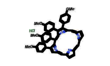 COc1ccc(C2=CC3=CC4=NC(=CC5=NC(=CC6=NC(=C(c7ccc(OC)cc7)C2=N3)C(c2ccc(OC)cc2)=C6c2ccc(OC)cc2)C=C5)C=C4)cc1.Cl